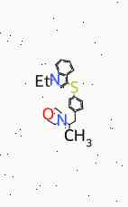 CCn1cc(Sc2ccc(CC(C)N3CCOCC3)cc2)c2ccccc21